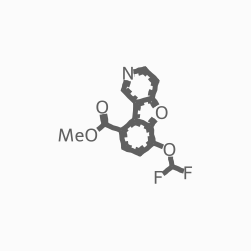 COC(=O)c1ccc(OC(F)F)c2oc3ccncc3c12